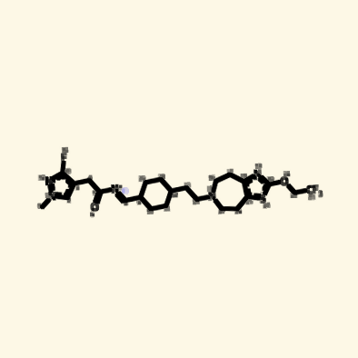 Cn1cc(CC(=O)/N=C/C2CCC(CCN3CCc4nc(OCC(F)(F)F)sc4CC3)CC2)c(F)n1